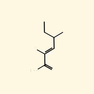 CCC(C)/C=C(\F)C(=O)O